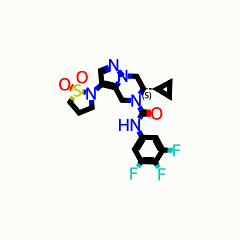 O=C(Nc1cc(F)c(F)c(F)c1)N1Cc2c(N3CCCS3(=O)=O)cnn2C[C@@H]1C1CC1